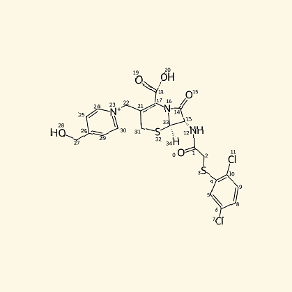 O=C(CSc1cc(Cl)ccc1Cl)N[C@H]1C(=O)N2C(C(=O)O)=C(C[n+]3ccc(CO)cc3)CS[C@H]12